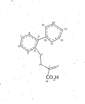 C=C(CCc1ccccc1-c1ccccc1)C(=O)O